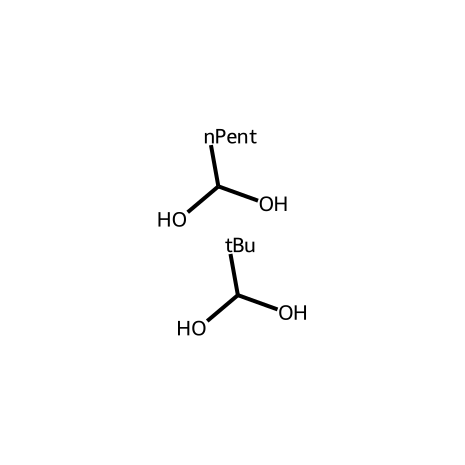 CC(C)(C)C(O)O.CCCCCC(O)O